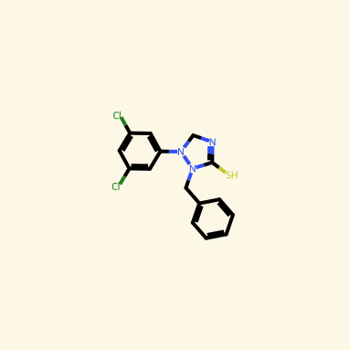 SC1=NCN(c2cc(Cl)cc(Cl)c2)N1Cc1ccccc1